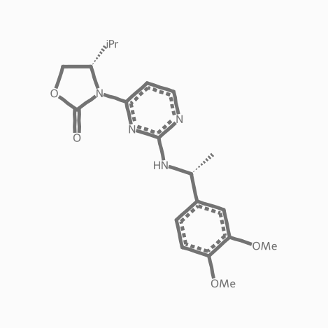 COc1ccc([C@@H](C)Nc2nccc(N3C(=O)OC[C@@H]3C(C)C)n2)cc1OC